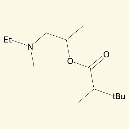 CCN(C)CC(C)OC(=O)C(C)C(C)(C)C